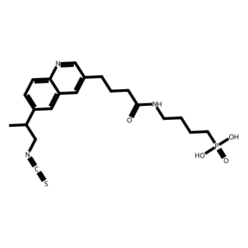 CC(CN=C=S)c1ccc2ncc(CCCC(=O)NCCCCP(=O)(O)O)cc2c1